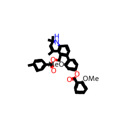 COc1ccccc1C(=O)Oc1ccc(-c2ccc3c(c2COC(=O)c2ccc(C)cc2)C(C)=CC(C)(C)N3)c(OC)c1